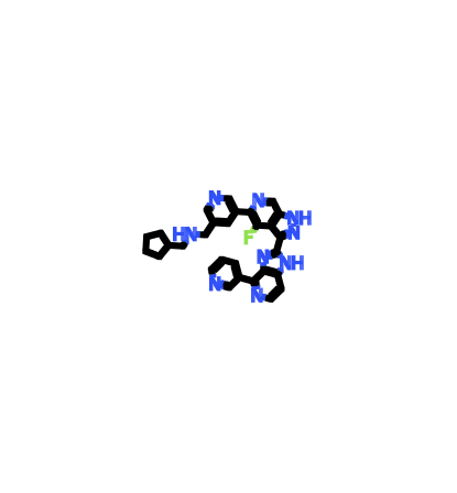 Fc1c(-c2cncc(CNCC3CCCC3)c2)ncc2[nH]nc(-c3nc4c(-c5cccnc5)nccc4[nH]3)c12